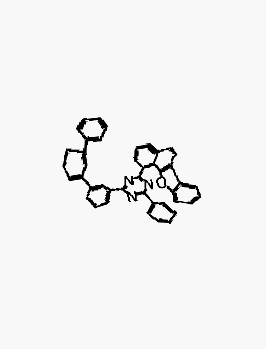 c1ccc(-c2cccc(-c3cccc(-c4nc(-c5ccccc5)nc(-c5cccc6ccc7c8ccccc8oc7c56)n4)c3)c2)cc1